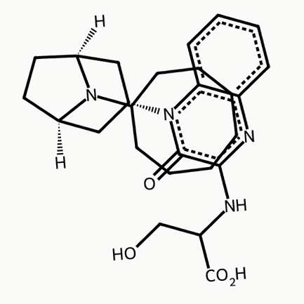 O=C(O)C(CO)Nc1nc2ccccc2n([C@@H]2C[C@H]3CC[C@@H](C2)N3C2CCCCCCC2)c1=O